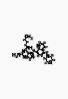 CCCCNc1nc(N)nc2cnn(Cc3ccc(CN4CCOCC4)c4cccnc34)c12